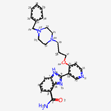 NC(=O)c1cccc2[nH]c(-c3cnccc3OCCCN3CCN(Cc4ccccc4)CC3)nc12